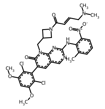 COc1cc(OC)c(Cl)c(-c2cc3cnc(Nc4c(C)cccc4[N+](=O)[O-])nc3n(CC3CN(C(=O)/C=C/CN(C)C)C3)c2=O)c1Cl